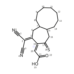 N#CC(C#N)=C1CC2CCCCCCCC2CC(=S)/C1=C\C(=O)O